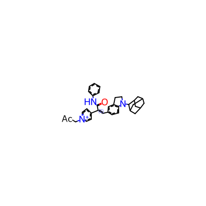 CC(=O)C[n+]1ccc(/C(=C/c2ccc3c(c2)CCN3C2C3CC4CC(C3)CC2C4)C(=O)Nc2ccccc2)cc1